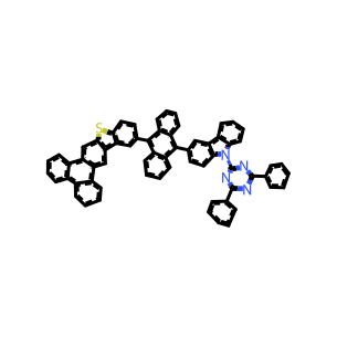 c1ccc(-c2nc(-c3ccccc3)nc(-n3c4ccccc4c4cc(-c5c6ccccc6c(-c6ccc7sc8cc9c%10ccccc%10c%10ccccc%10c9cc8c7c6)c6ccccc56)ccc43)n2)cc1